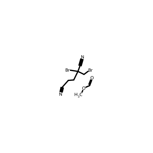 COC=O.N#CCCC(Br)(C#N)CBr